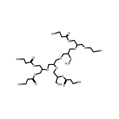 CC(C)CCOCC(COC(=O)CCS)OCC(COCC(COC(COC(=O)CCS)COC(=O)CCS)OCC(CO)OC(=O)CCS)ON